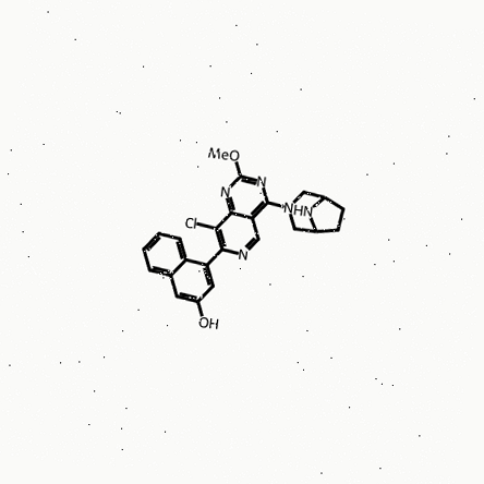 COc1nc(N2CC3CCC(C2)N3)c2cnc(-c3cc(O)cc4ccccc34)c(Cl)c2n1